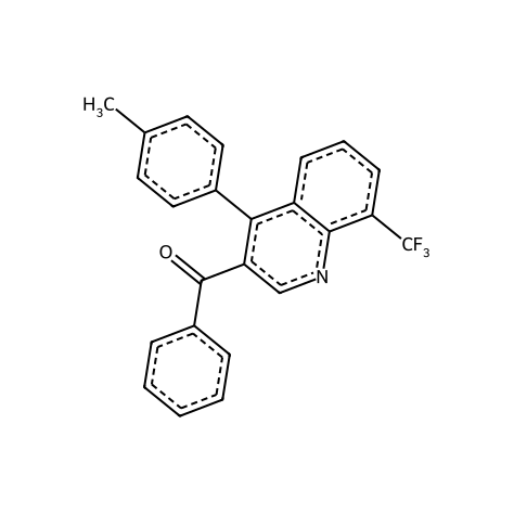 Cc1ccc(-c2c(C(=O)c3ccccc3)cnc3c(C(F)(F)F)cccc23)cc1